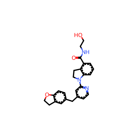 O=C(NCCO)c1cccc2c1CCN2c1cc(Cc2ccc3c(c2)CCO3)ccn1